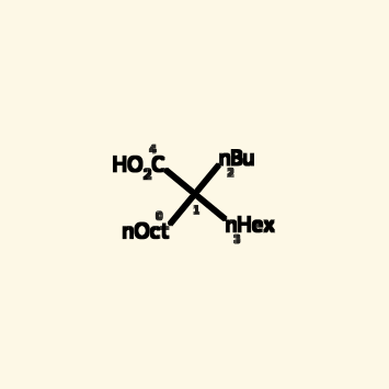 CCCCCCCCC(CCCC)(CCCCCC)C(=O)O